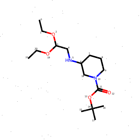 CCOC(CNC1CCCN(C(=O)OC(C)(C)C)C1)OCC